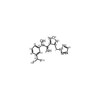 N=C(c1nonc1Cn1ncnn1)N(O)c1cccc(C(F)F)c1